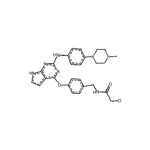 CN1CCN(c2ccc(Nc3nc(Oc4ccc(CNC(=O)CCl)cc4)c4cc[nH]c4n3)cc2)CC1